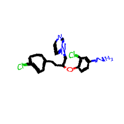 Nc1ccc(OC(CCc2ccc(Cl)cc2)Cn2ccnc2)c(Cl)c1